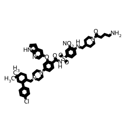 CC1(C)CCC(CN2CCN(c3ccc(C(=O)NS(=O)(=O)c4ccc(NCC5CCN(C(=O)CCCN)CC5)c([N+](=O)[O-])c4)c(Oc4cnc5[nH]ccc5c4)c3)CC2)=C(c2ccc(Cl)cc2)C1